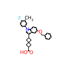 Cc1cc(-n2cc(C3CC4(CC(C(=O)O)C4)C3)c3cc(OCc4ccccc4)ccc32)ccc1F